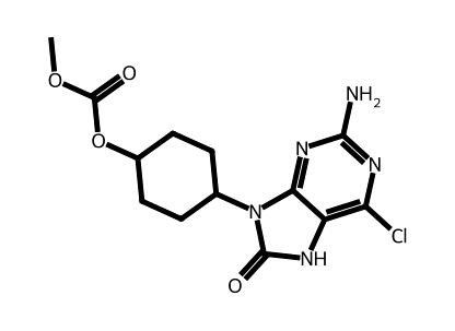 COC(=O)OC1CCC(n2c(=O)[nH]c3c(Cl)nc(N)nc32)CC1